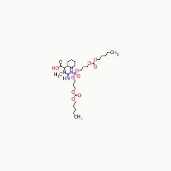 CCCCCOC(=O)OCCCOP(=O)(NC(=N)N(C)C(C(=O)O)C1CCCCC1)OCCCOC(=O)OCCCCC